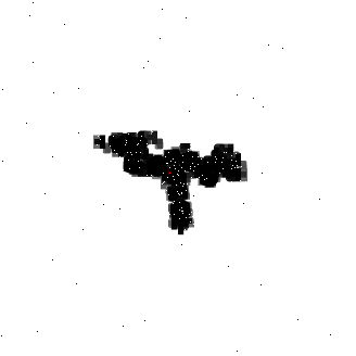 COC(=O)N[C@H](C(=O)N1CCC[C@H]1c1nc2cc([C@H]3CC[C@H](c4cc5nc([C@@H]6CCCN6C(=O)[C@@H](NC(=O)O)[C@@H](C)OC)[nH]c5cc4F)N3c3cc(F)c(N4CCN(c5ccc(C(F)(F)F)cc5)CC4)c(F)c3)c(F)cc2[nH]1)C(C)OC